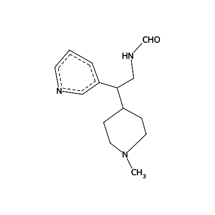 CN1CCC(C(CNC=O)c2cccnc2)CC1